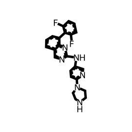 Fc1cccc(F)c1-c1cccc2cnc(Nc3ccc(N4CCNCC4)nc3)nc12